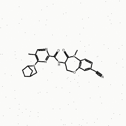 Cc1cnc(C(=O)NC2COc3cc(C#N)ccc3N(C)C2=O)nc1N1CC2CCC1C2